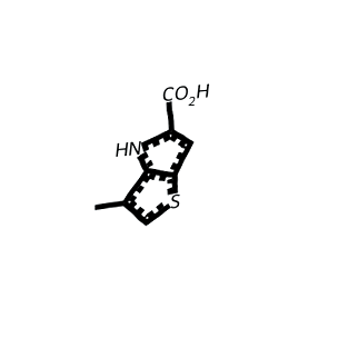 Cc1csc2cc(C(=O)O)[nH]c12